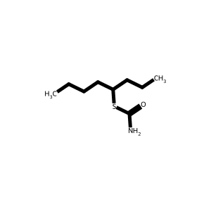 CCCCC(CCC)SC(N)=O